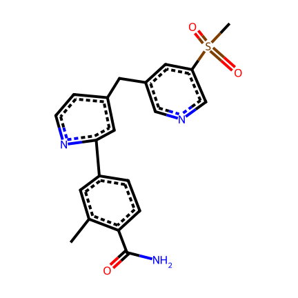 Cc1cc(-c2cc(Cc3cncc(S(C)(=O)=O)c3)ccn2)ccc1C(N)=O